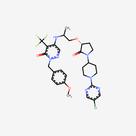 COc1ccc(Cn2ncc(NC(C)CO[C@@H]3CCN(C4CCN(c5ncc(Cl)cn5)CC4)C3=O)c(C(F)(F)F)c2=O)cc1